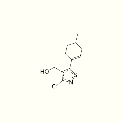 CC1CC=C(c2snc(Cl)c2CO)CC1